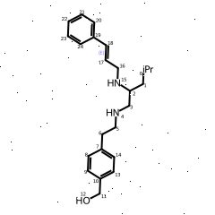 CC(C)CC(CNCCc1ccc(CO)cc1)NC/C=C/c1ccccc1